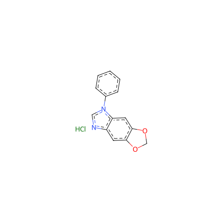 Cl.c1ccc(-n2cnc3cc4c(cc32)OCO4)cc1